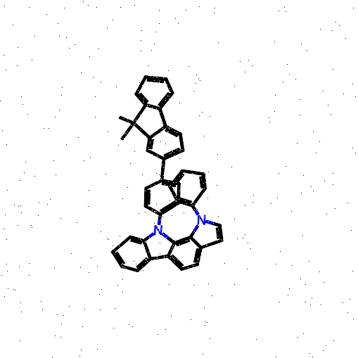 CC1(C)c2ccccc2-c2ccc(-c3ccc(-n4c5ccccc5c5ccc6ccn(-c7ccccc7)c6c54)cc3)cc21